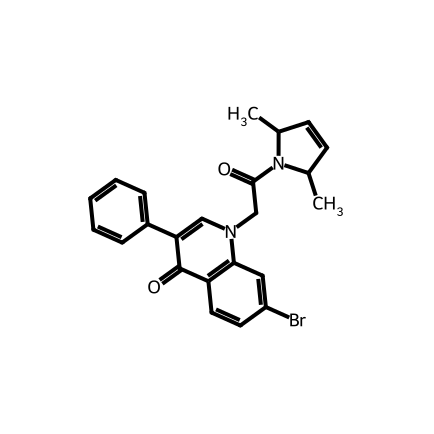 CC1C=CC(C)N1C(=O)Cn1cc(-c2ccccc2)c(=O)c2ccc(Br)cc21